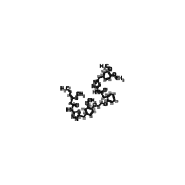 C=C/C=C(/CC(=O)Nc1nnc(Cc2ccc(OCCOc3ccccc3CC(=O)Nc3nnc(Cc4ccc(OC)c(OC)c4)s3)c(OC)c2)s1)SC